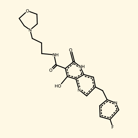 O=C(NCCCN1CCOCC1)c1c(O)c2ncc(Cc3ccc(F)cn3)cc2[nH]c1=O